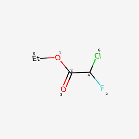 CCOC(=O)C(F)Cl